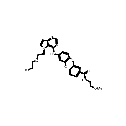 COCCNC(=O)c1cccc(Oc2ccc(Nc3ncnc4ccn(CCOCCO)c34)cc2Cl)c1